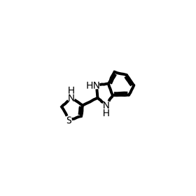 C1=C(C2Nc3ccccc3N2)NCS1